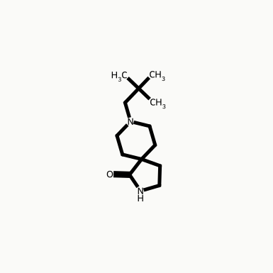 CC(C)(C)CN1CCC2(CCNC2=O)CC1